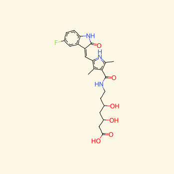 Cc1[nH]c(C=C2C(=O)Nc3ccc(F)cc32)c(C)c1C(=O)NCCC(O)CC(O)CC(=O)O